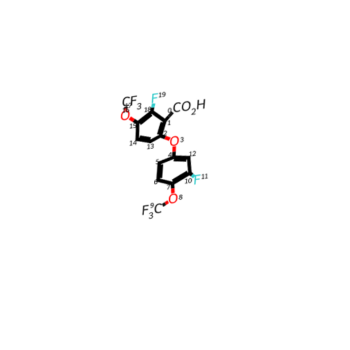 O=C(O)c1c(Oc2ccc(OC(F)(F)F)c(F)c2)ccc(OC(F)(F)F)c1F